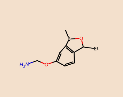 CCC1OB(C)c2cc(OCN)ccc21